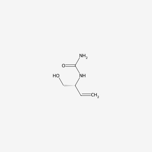 C=C[C@H](CO)NC(N)=O